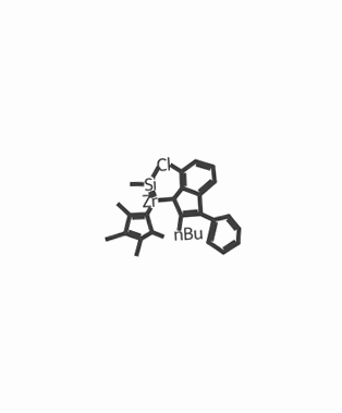 CCCCC1=C(c2ccccc2)c2cccc(Cl)c2[CH]1[Zr]([C]1=C(C)C(C)=C(C)C1C)=[Si](C)C